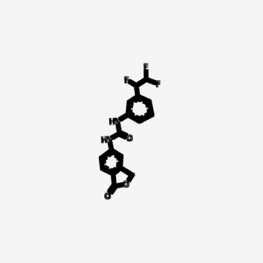 O=C(Nc1cccc(C(F)C(F)F)c1)Nc1ccc2c(c1)COC2=O